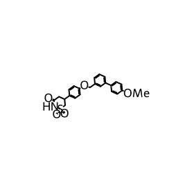 COc1ccc(-c2cccc(COc3ccc(C4CC(=O)NS(=O)(=O)C4)cc3)c2)cc1